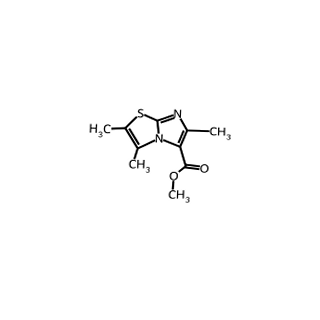 COC(=O)c1c(C)nc2sc(C)c(C)n12